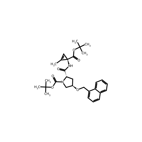 CC1=C[C@]1(NC(=O)[C@@H]1C[C@@H](OCc2cccc3ccccc23)CN1C(=O)OC(C)(C)C)C(=O)OC(C)(C)C